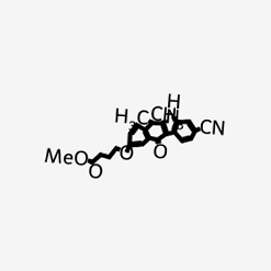 COC(=O)CCCOc1ccc2c(c1)C(=O)c1c([nH]c3cc(C#N)ccc13)C2(C)C